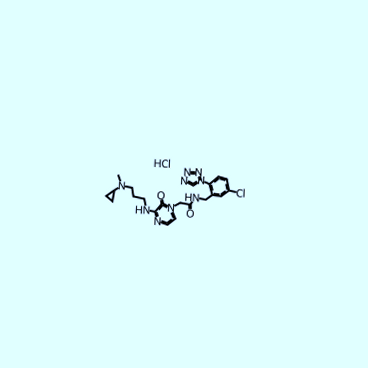 CN(CCCNc1nccn(CC(=O)NCc2cc(Cl)ccc2-n2cnnn2)c1=O)C1CC1.Cl